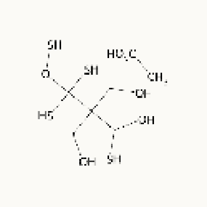 CC(=O)O.OCC(CO)(C(O)S)C(S)(S)OS